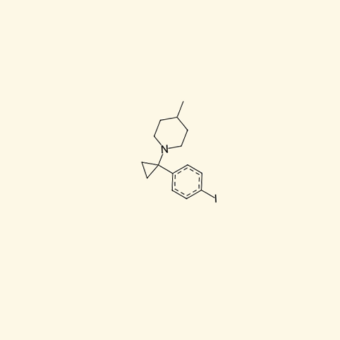 CC1CCN(C2(c3ccc(I)cc3)CC2)CC1